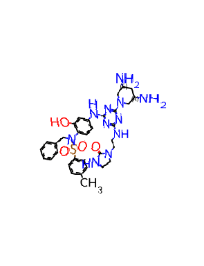 Cc1ccc(S(=O)(=O)N(Cc2ccccc2)c2ccc(Nc3nc(NCCN4CCNC4=O)nc(N4C[C@H](N)C[C@H](N)C4)n3)cc2O)cc1